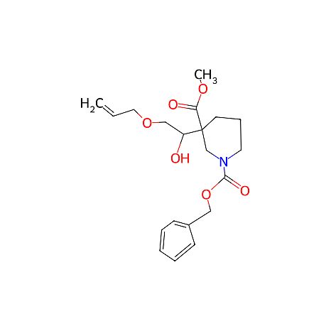 C=CCOCC(O)C1(C(=O)OC)CCCN(C(=O)OCc2ccccc2)C1